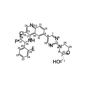 OC[C@@H]1CN(c2ncc(-c3ccc4ncc(Cl)c(NC(c5ccccc5F)C(F)F)c4c3)cn2)CCO1